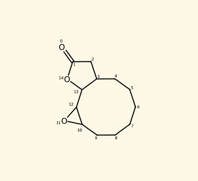 O=C1CC2CCCCCCC3OC3C2O1